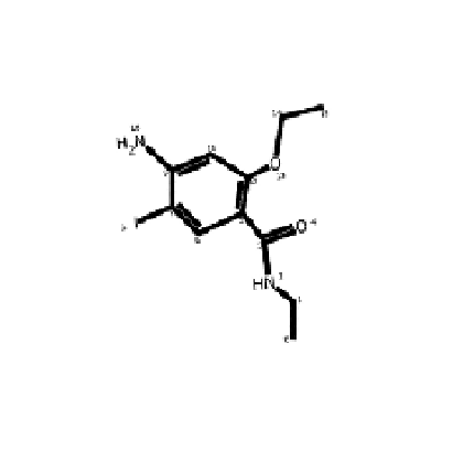 CCNC(=O)c1cc(I)c(N)cc1OCC